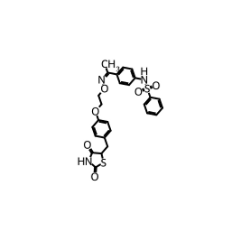 CC(=NOCCOc1ccc(CC2SC(=O)NC2=O)cc1)c1ccc(NS(=O)(=O)c2ccccc2)cc1